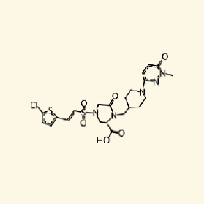 Cn1nc(N2CCC(CN3C(=O)CN(S(=O)(=O)/C=C/c4ccc(Cl)s4)C[C@@H]3C(=O)O)CC2)ccc1=O